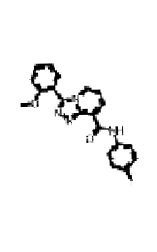 COc1ccccc1-c1nnc2c(C(=O)Nc3ccc(F)cc3)cccn12